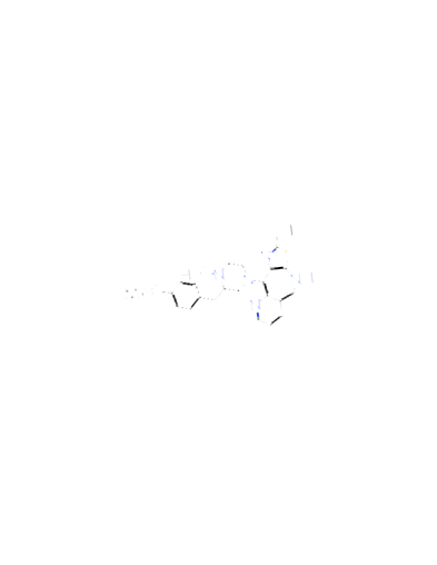 COc1ccc(CC2CN(C3=c4ncccc4=CNc4sc(C)nc43)CCN2C)cc1